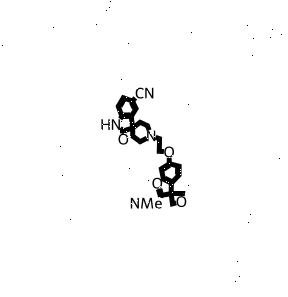 CNC(=O)C1(c2ccc(OCCN3CCC4(CC3)C(=O)Nc3ccc(C#N)cc34)cc2)COC1